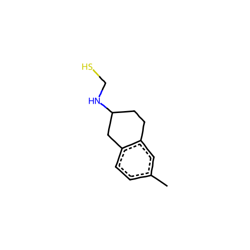 Cc1ccc2c(c1)CCC(NCS)C2